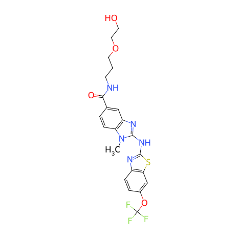 Cn1c(Nc2nc3ccc(OC(F)(F)F)cc3s2)nc2cc(C(=O)NCCCOCCO)ccc21